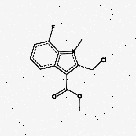 COC(=O)c1c(CCl)n(C)c2c(F)cccc12